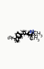 Cc1cc(C2=CC(c3ccc4c(c3)C=CC4C(C)C)=CC2)cnc1C